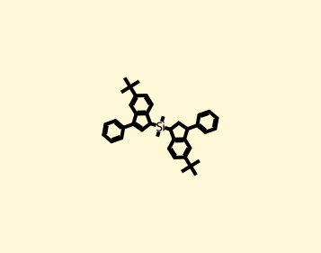 CC(C)(C)c1ccc2c(c1)C(c1ccccc1)=CC2[Si](C)(C)C1CC(c2ccccc2)c2cc(C(C)(C)C)ccc21